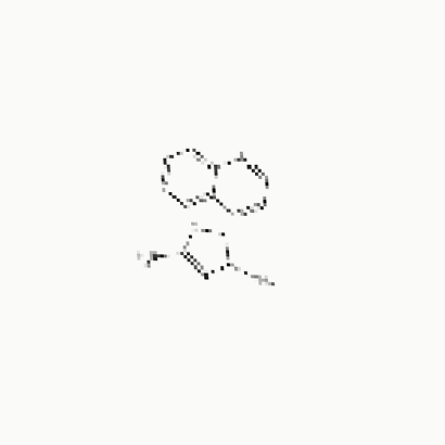 NC1=NC(N)CO1.c1ccc2ncccc2c1